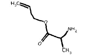 C=CCOC(=O)C(C)N